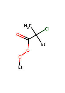 CCOOC(=O)C(C)(Cl)CC